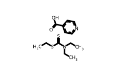 CCSC(=S)N(CC)CC.O=C(O)c1ccncc1